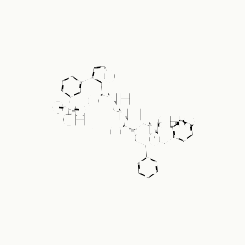 CS(=O)(=O)c1cccc(-c2ccoc2C(=O)NCNC(=O)[C@H](CCc2ccccc2)CN(C=O)OCc2ccccc2)c1